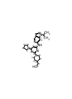 CC(C)n1ncc2cnc(Nc3cc(N4CCCC4)nc(N4CCC(CO)CC4)n3)cc21